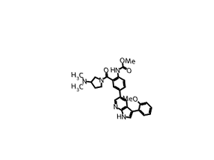 COC(=O)Nc1ccc(-c2cnc3[nH]cc(-c4ccccc4OC)c3c2)cc1C(=O)N1CCC(N(C)C)C1